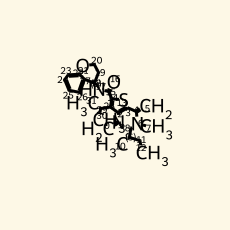 C=Nc1c(C(=C)N(C)C[C@@H](C)CC)sc(C(=O)N[C@H]2CCOc3ccccc32)c1C(C)C